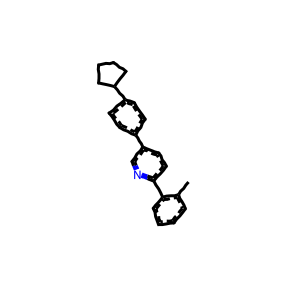 Cc1ccccc1-c1ccc(-c2ccc(C3CCCC3)cc2)cn1